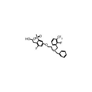 CS(=O)(=O)c1cc(OCCCN(Cc2ccccc2)Cc2cccc(C(F)(F)F)c2F)cc(F)c1CCO